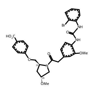 COc1cc(CC(=O)N2C[C@H](OC)C[C@H]2COc2ccc(C(=O)O)cc2)ccc1NC(=O)Nc1ccccc1Br